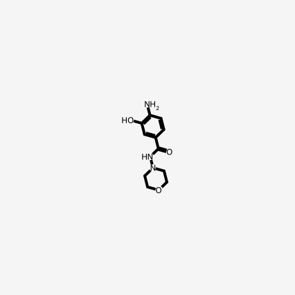 Nc1ccc(C(=O)NN2CCOCC2)cc1O